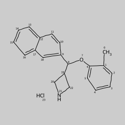 Cc1ccccc1OC(c1ccc2ccccc2c1)C1CNC1.Cl